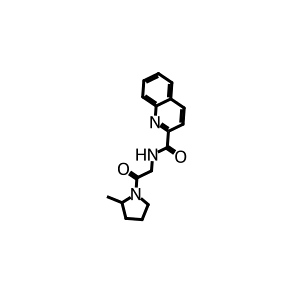 CC1CCCN1C(=O)CNC(=O)c1ccc2ccccc2n1